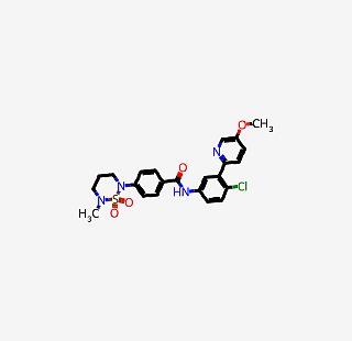 COc1ccc(-c2cc(NC(=O)c3ccc(N4CCCN(C)S4(=O)=O)cc3)ccc2Cl)nc1